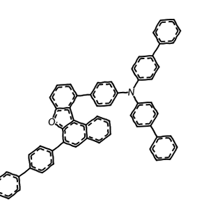 c1ccc(-c2ccc(-c3cc4ccccc4c4c3oc3cccc(-c5ccc(N(c6ccc(-c7ccccc7)cc6)c6ccc(-c7ccccc7)cc6)cc5)c34)cc2)cc1